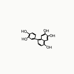 Oc1ccc(-c2ccc(O)c3cc(O)c(O)cc23)cc1O